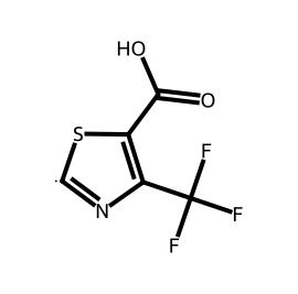 O=C(O)c1s[c]nc1C(F)(F)F